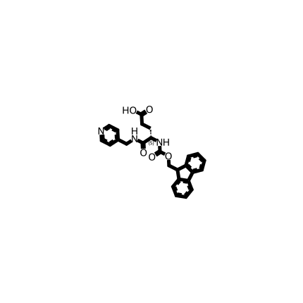 O=C(O)CC[C@H](NC(=O)OCC1c2ccccc2-c2ccccc21)C(=O)NCc1ccncc1